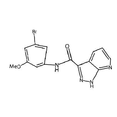 COc1cc(Br)cc(NC(=O)c2n[nH]c3ncccc23)c1